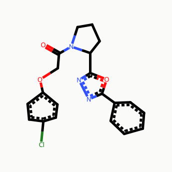 O=C(COc1ccc(Cl)cc1)N1CCCC1c1nnc(-c2ccccc2)o1